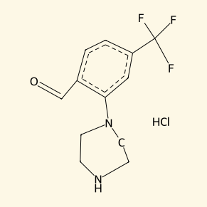 Cl.O=Cc1ccc(C(F)(F)F)cc1N1CCNCC1